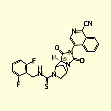 N#Cc1ncc(N2C(=O)[C@@H]3C4CC(CN4C(=S)NCc4c(F)cccc4F)N3C2=O)c2ccccc12